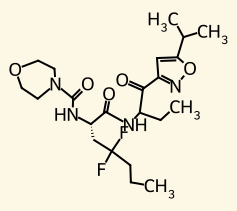 CCCC(F)(F)C[C@H](NC(=O)N1CCOCC1)C(=O)NC(CC)C(=O)c1cc(C(C)C)on1